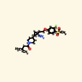 CC(C)CC(=O)N1CCC([C@H]2C[C@@]2(N)CCOc2ccc(S(C)(=O)=O)c(F)c2)CC1